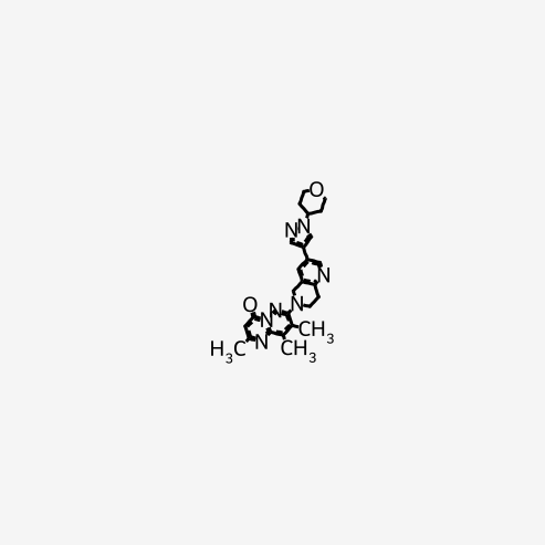 Cc1cc(=O)n2nc(N3CCc4ncc(-c5cnn(C6CCOCC6)c5)cc4C3)c(C)c(C)c2n1